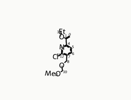 C=C(OCC)c1ccc(COCOC)c(Cl)n1